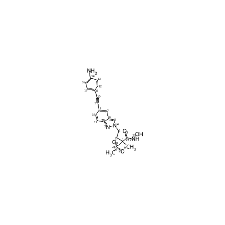 CC(CCn1cc2cc(C#Cc3ccc(N)cc3)ccc2n1)(C(=O)NO)S(C)(=O)=O